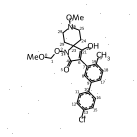 COCON1C(=O)C(c2cc(-c3ccc(Cl)cc3)ccc2C)=C(O)C12CCN(OC)CC2